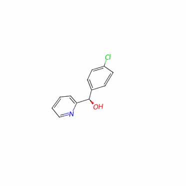 O[C@H](c1ccc(Cl)cc1)c1ccccn1